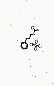 CC(=O)NCCCc1ccccc1.O=S(=O)(Cl)Cl